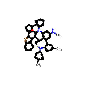 CNc1cc2c(c(N(c3ccccc3C3=CC=CC3)c3ccc4sc5ccccc5c4c3C)c1)/C=C/CN(c1ccc(C)cc1)c1ccc(C)cc1-2